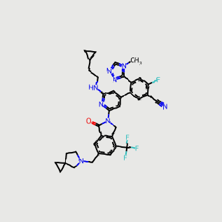 Cn1cnnc1-c1cc(F)c(C#N)cc1-c1cc(NCCC2CC2)nc(N2Cc3c(cc(CN4CCC5(CC5)C4)cc3C(F)(F)F)C2=O)c1